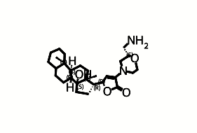 C[C@]12CCCCC1CC[C@@H]1[C@@H]2CC[C@]2(C)[C@H]([C@@H]3C=C(N4CCO[C@@H](CN)C4)C(=O)O3)CC[C@]12O